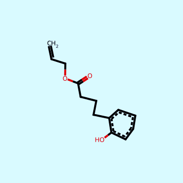 C=CCOC(=O)CCCc1ccccc1O